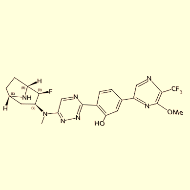 COc1nc(-c2ccc(-c3ncc(N(C)[C@H]4C[C@@H]5CC[C@@H](N5)[C@H]4F)nn3)c(O)c2)cnc1C(F)(F)F